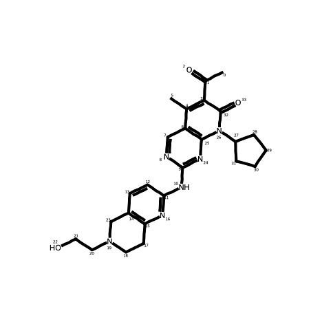 CC(=O)c1c(C)c2cnc(Nc3ccc4c(n3)CCN(CCO)C4)nc2n(C2CCCC2)c1=O